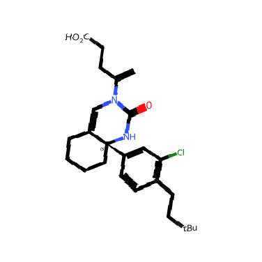 C=C(CCC(=O)O)N1C=C2CCCC[C@@]2(c2ccc(CCC(C)(C)C)c(Cl)c2)NC1=O